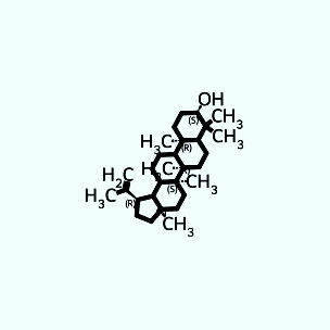 C=C(C)[C@@H]1CC[C@]2(C)CC[C@@]3(C)C(CCC4[C@@]5(C)CC[C@H](O)C(C)(C)C5CC[C@]43C)C12